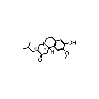 COc1cc2c(cc1O)CCN1C[C@H](CC(C)C)C(=O)C[C@@H]21